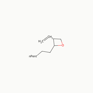 C=C.CCCCCCCC1CCO1